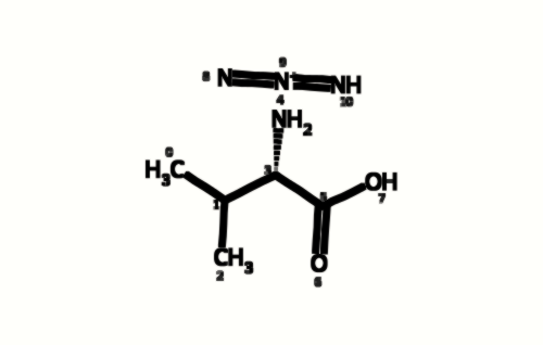 CC(C)[C@H](N)C(=O)O.[N-]=[N+]=N